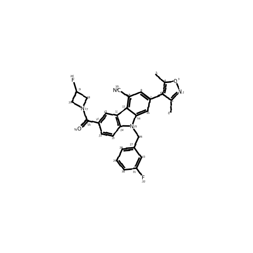 Cc1noc(C)c1-c1cc(C#N)c2c3cc(C(=O)N4CC(F)C4)ccc3n(Cc3cccc(F)c3)c2c1